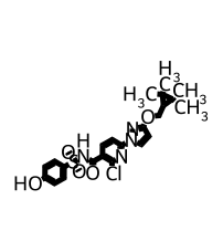 CC1(C)C(COc2ccn(-c3ccc(C(=O)NS(=O)(=O)c4ccc(O)cc4)c(Cl)n3)n2)C1(C)C